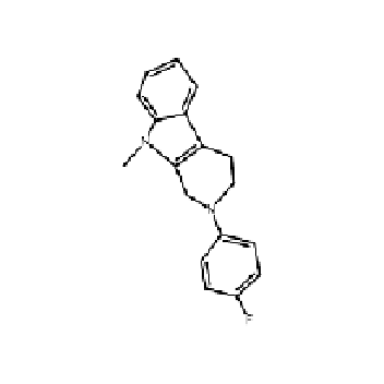 Cn1c2c(c3ccccc31)CCN(c1ccc(F)cc1)C2